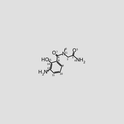 CN(CC(N)=O)C(=O)c1cccc(N)c1O